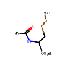 CCOC(=O)C(CSSC(C)(C)C)NC(=O)C(C)C